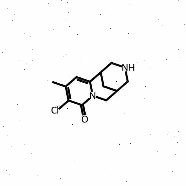 Cc1cc2n(c(=O)c1Cl)CC1CNCC2C1